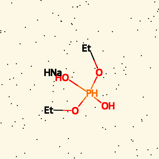 CCO[PH](O)(O)OCC.[NaH]